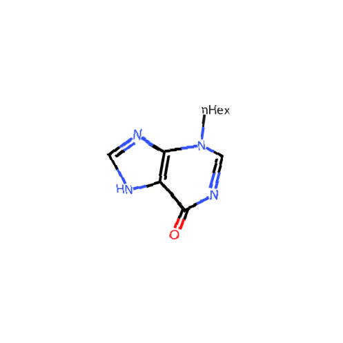 CCCCCCn1cnc(=O)c2[nH]cnc21